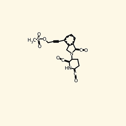 CS(=O)(=O)OCC#Cc1cccc2c1CN(C1CCC(=C=O)NC1=C=O)C2=C=O